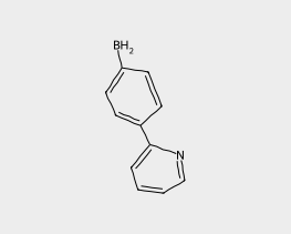 Bc1ccc(-c2ccccn2)cc1